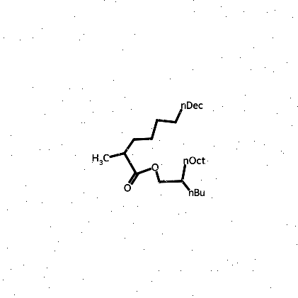 CCCCCCCCCCCCCCC(C)C(=O)OCC(CCCC)CCCCCCCC